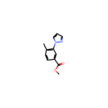 COC(=O)c1ccc(C)c(-n2cccn2)c1